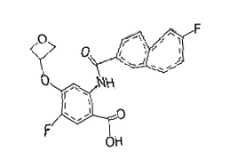 O=C(Nc1cc(OC2COC2)c(F)cc1C(=O)O)c1ccc2cc(F)ccc2c1